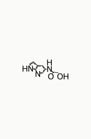 O=C(CO)Nc1cnc2[nH]ccc2c1